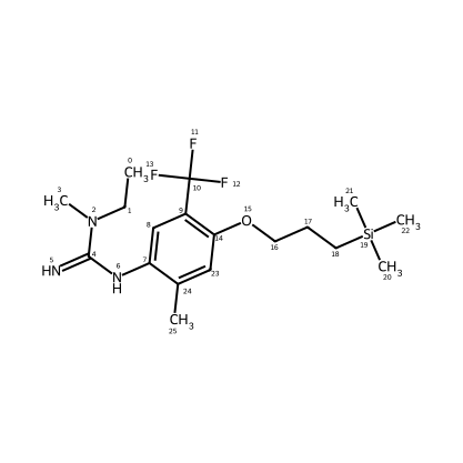 CCN(C)C(=N)Nc1cc(C(F)(F)F)c(OCCC[Si](C)(C)C)cc1C